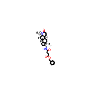 CN1C(=O)C=C[C@]2(C)[C@H]3CC[C@]4(C)[C@@H](CNC(=O)CCC(=O)OCc5ccccc5)CC[C@H]4[C@@H]3CC[C@@H]12